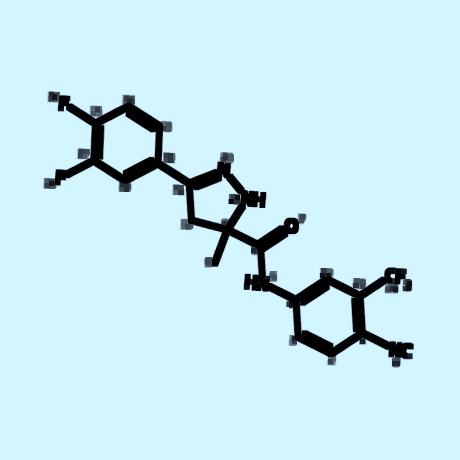 [C-]#[N+]c1ccc(NC(=O)C2(C)CC(c3ccc(F)c(F)c3)=NN2)cc1C(F)(F)F